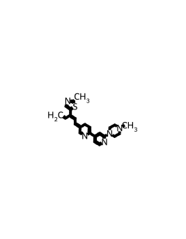 C=C/C(=C\C=C1\C=NC(c2ccnc(N3CCN(C)CC3)c2)=CC1)c1cnc(C)s1